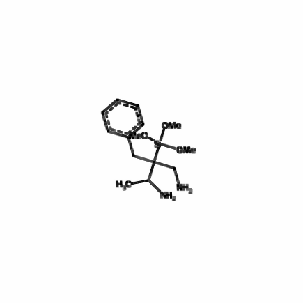 CO[Si](OC)(OC)C(CN)(Cc1ccccc1)C(C)N